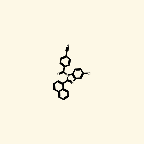 N#Cc1ccc(C(=O)n2c(-c3cccc4ccccc34)nc3cc(Cl)ccc32)cc1